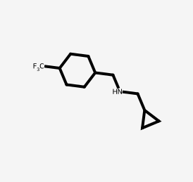 FC(F)(F)C1CCC(CNCC2CC2)CC1